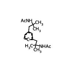 CC(=O)NC(C)(C)Cc1cccc(CC(C)(C)NC(C)=O)c1